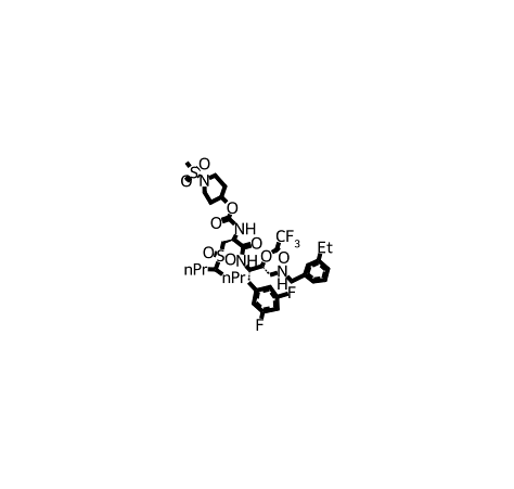 CCCC(CCC)S(=O)(=O)C[C@@H](NC(=O)OC1CCN(S(C)(=O)=O)CC1)C(=O)N[C@@H](Cc1cc(F)cc(F)c1)[C@@H](CNCc1cccc(CC)c1)OC(=O)C(F)(F)F